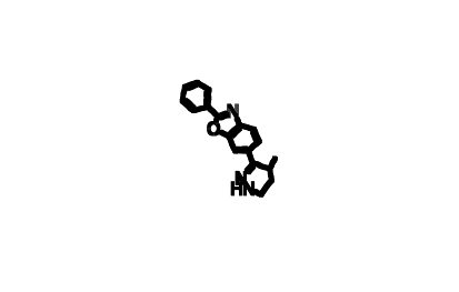 CC1CCNN=C1c1ccc2nc(-c3ccccc3)oc2c1